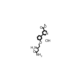 COC(=O)c1cncc(-c2cccc(OCCC(N)CC(N)=O)c2)c1.Cl